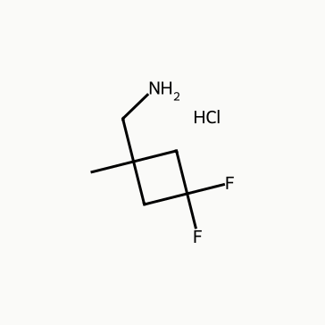 CC1(CN)CC(F)(F)C1.Cl